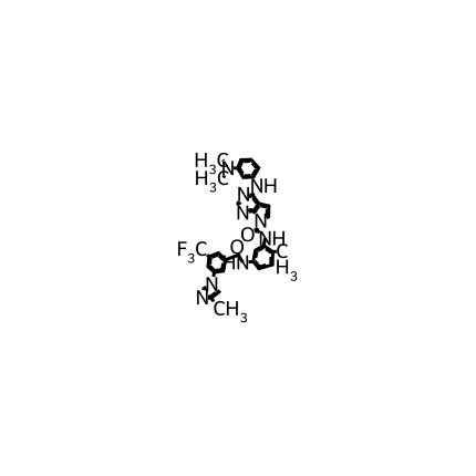 Cc1cn(-c2cc(C(=O)Nc3ccc(C)c(NC(=O)n4ccc5c(Nc6cccc(N(C)C)c6)ncnc54)c3)cc(C(F)(F)F)c2)cn1